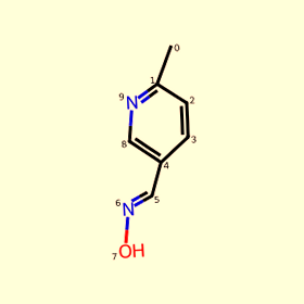 Cc1ccc(C=NO)cn1